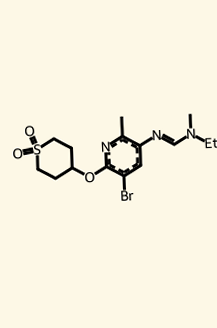 CCN(C)/C=N/c1cc(Br)c(OC2CCS(=O)(=O)CC2)nc1C